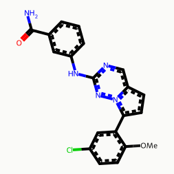 COc1ccc(Cl)cc1-c1ccc2cnc(Nc3cccc(C(N)=O)c3)nn12